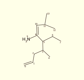 C=CCC(C)C(CC)/C(N)=C\C(C)C